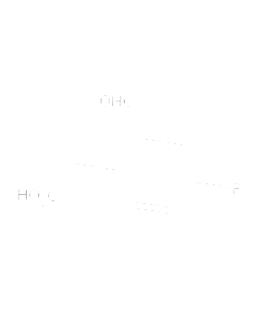 O=Cc1cc(F)ccc1CC(=O)O